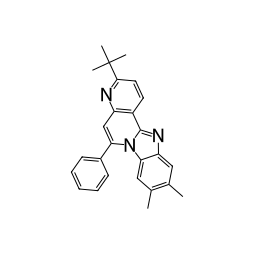 Cc1cc2nc3c4ccc(C(C)(C)C)nc4cc(-c4ccccc4)n3c2cc1C